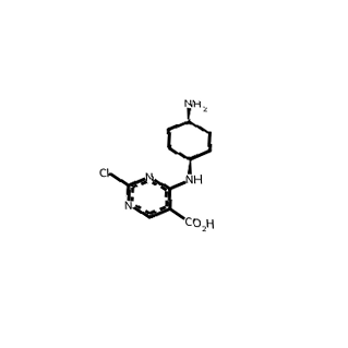 N[C@H]1CC[C@@H](Nc2nc(Cl)ncc2C(=O)O)CC1